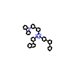 c1ccc(-c2cccc(-c3ccc(-c4nc(-c5cccc(-c6cccc(-n7c8ccccc8c8ccccc87)c6)c5)nc(-c5cccc(-c6cccc7ccccc67)c5)n4)cc3)c2)cc1